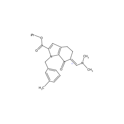 Cc1cccc(Cn2c(C(=O)OC(C)C)cc3c2C(=O)/C(=C/N(C)C)CC3)c1